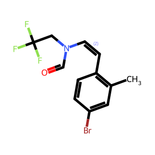 Cc1cc(Br)ccc1/C=C\N(C=O)CC(F)(F)F